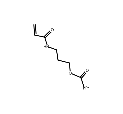 C=CC(=O)NCCCOC(=O)CCC